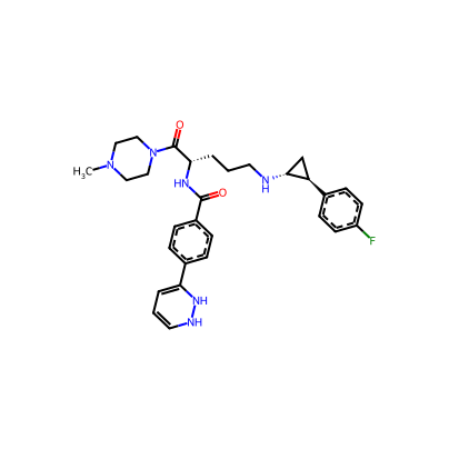 CN1CCN(C(=O)[C@H](CCCN[C@@H]2C[C@H]2c2ccc(F)cc2)NC(=O)c2ccc(C3=CC=CNN3)cc2)CC1